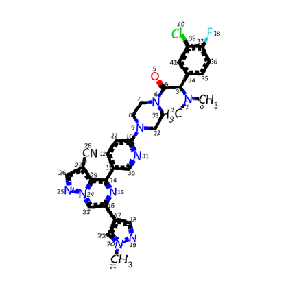 CN(C)C(C(=O)N1CCN(c2ccc(-c3nc(-c4cnn(C)c4)cn4ncc(C#N)c34)cn2)CC1)c1ccc(F)c(Cl)c1